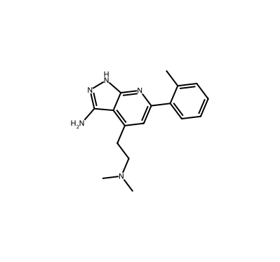 Cc1ccccc1-c1cc(CCN(C)C)c2c(N)n[nH]c2n1